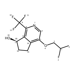 CC(F)COc1cnc(C(F)(F)F)c2c1CC[C@H]2O